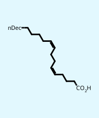 CCCCCCCCCCCCCC/C=C\CC/C=C\CCCC(=O)O